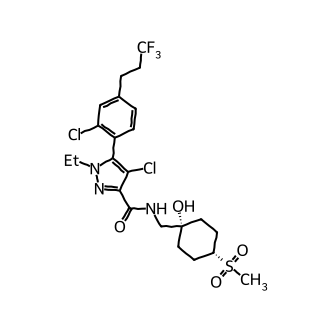 CCn1nc(C(=O)NC[C@]2(O)CC[C@@H](S(C)(=O)=O)CC2)c(Cl)c1-c1ccc(CCC(F)(F)F)cc1Cl